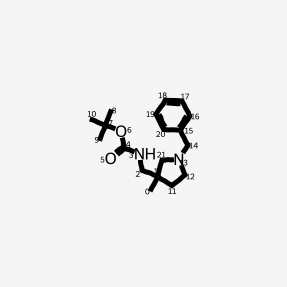 CC1(CNC(=O)OC(C)(C)C)CCN(Cc2ccccc2)C1